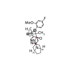 COc1cc(F)ccc1OC(C)(C)C(=O)N[C@H]1C[C@H]2CC[C@@H](C1)N2c1ccc(S(C)(=O)=O)cn1